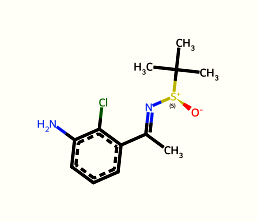 CC(=N[S@+]([O-])C(C)(C)C)c1cccc(N)c1Cl